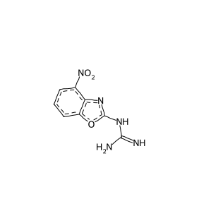 N=C(N)Nc1nc2c([N+](=O)[O-])cccc2o1